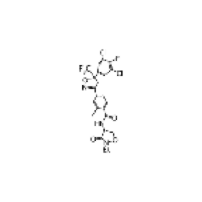 CCN1OCC(NC(=O)C2=CCC(C3=NOC(c4cc(Cl)c(F)c(Cl)c4)(C(F)(F)F)C3)C=C2C)C1=O